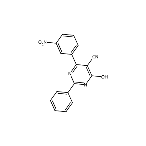 N#Cc1c(O)nc(-c2ccccc2)nc1-c1cccc([N+](=O)[O-])c1